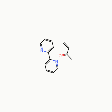 C=CC(C)=O.c1ccc(-c2ccccn2)nc1